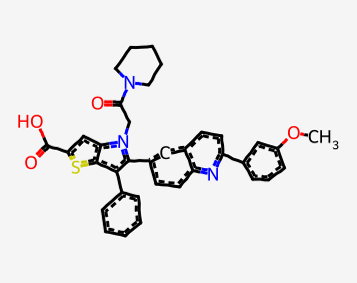 COc1cccc(-c2ccc3cc(-c4c(-c5ccccc5)c5sc(C(=O)O)cc5n4CC(=O)N4CCCCC4)ccc3n2)c1